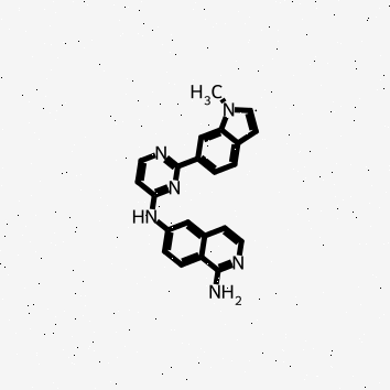 Cn1[c]cc2ccc(-c3nccc(Nc4ccc5c(N)nccc5c4)n3)cc21